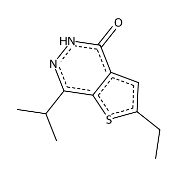 CCc1cc2c(=O)[nH]nc(C(C)C)c2s1